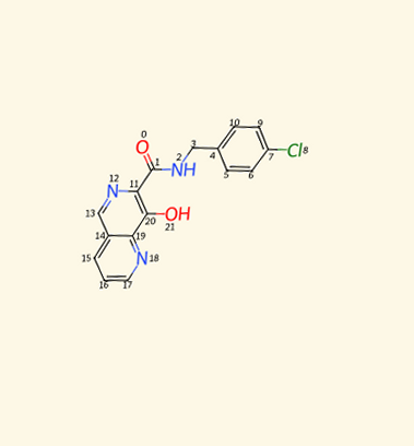 O=C(NCc1ccc(Cl)cc1)c1ncc2cccnc2c1O